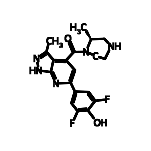 Cc1n[nH]c2nc(-c3cc(F)c(O)c(F)c3)cc(C(=O)N3CCNC[C@@H]3C)c12